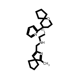 CC1=NC(CNCC[C@@]2(c3ccccn3)CCOC3(CCCC3)C2)=CC12CCCC2